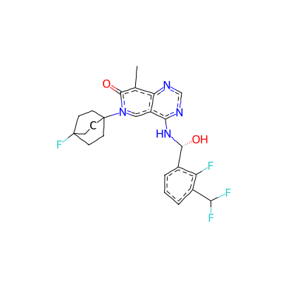 Cc1c(=O)n(C23CCC(F)(CC2)CC3)cc2c(N[C@H](O)c3cccc(C(F)F)c3F)ncnc12